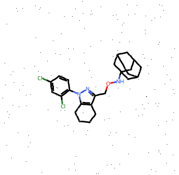 Clc1ccc(-n2nc(CONC34CC5CC(CC(C5)C3)C4)c3c2CCCC3)c(Cl)c1